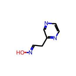 ON=CCc1cnccn1